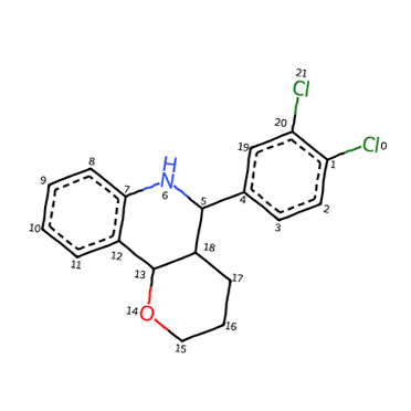 Clc1ccc(C2Nc3ccccc3C3OCCCC23)cc1Cl